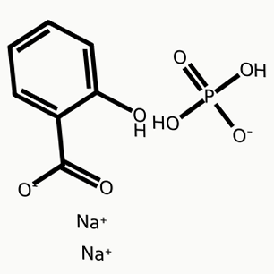 O=C([O-])c1ccccc1O.O=P([O-])(O)O.[Na+].[Na+]